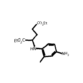 CCOC(=O)CCC(Nc1ccc(N)cc1C)C(=O)OCC